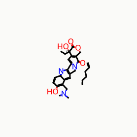 C=CCCCC.CC[C@@]1(O)C(=O)OCc2c1cc1n(c2=O)Cc2cc3c(CN(C)C)c(O)ccc3nc2-1